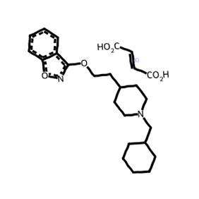 O=C(O)/C=C/C(=O)O.c1ccc2c(OCCC3CCN(CC4CCCCC4)CC3)noc2c1